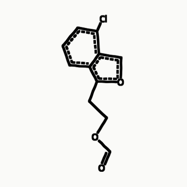 O=COCCc1occ2c(Cl)cccc12